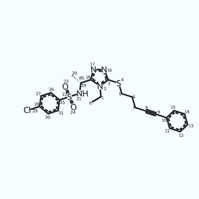 CCn1c(SCCCC#Cc2ccccc2)nnc1[C@@H](C)NS(=O)(=O)c1ccc(Cl)cc1